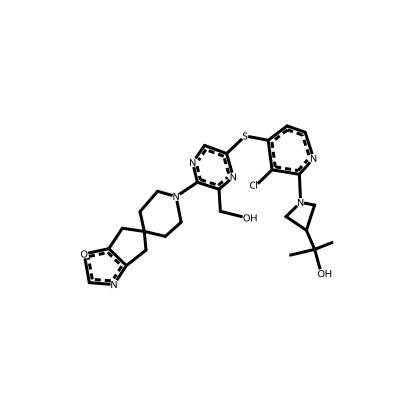 CC(C)(O)C1CN(c2nccc(Sc3cnc(N4CCC5(CC4)Cc4ncoc4C5)c(CO)n3)c2Cl)C1